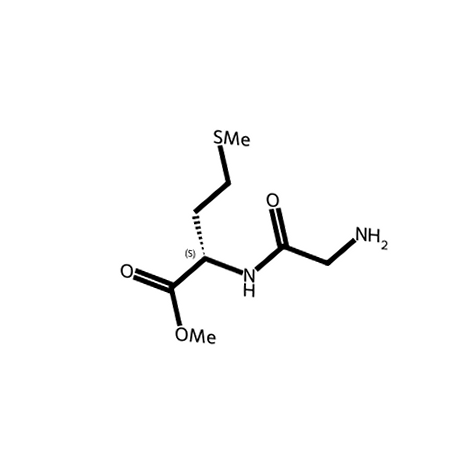 COC(=O)[C@H](CCSC)NC(=O)CN